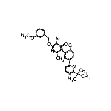 COc1cccc(COc2nc(C)n(-c3cc(-c4ccnc(C(C)(C)C)n4)ccc3Cl)c(=O)c2Br)c1